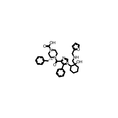 O=C(O)N1CCN(C(=O)c2ncn(C3CCCCC3(O)CNCc3ccco3)c2-c2ccccc2)[C@H](Cc2ccccc2)C1